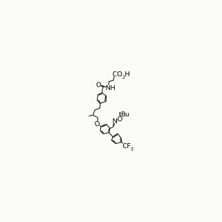 CC(CCc1ccc(C(=O)NCCC(=O)O)cc1)COc1ccc(-c2ccc(C(F)(F)F)cc2)c(C=NOC(C)(C)C)c1